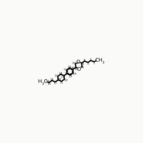 CCCCCC1COC(c2ccc(C3CCC(CCCC)CC3)cc2)CO1